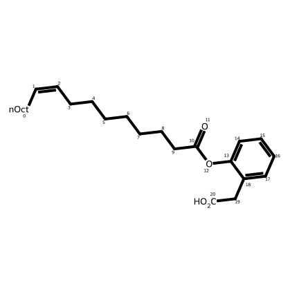 CCCCCCCC/C=C\CCCCCCCC(=O)Oc1ccccc1CC(=O)O